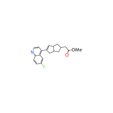 COC(=O)CC1CC2C=C(c3ccnc4ccc(F)cc34)CC2C1